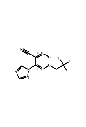 N#CC(=N/O)/C(=N\OCC(F)(F)F)n1cncn1